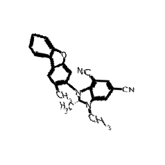 Cc1cc2c(cc1N1c3c(C#N)cc(C#N)cc3N(C)[C@@H]1C)oc1ccccc12